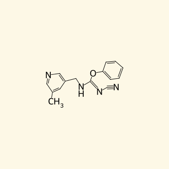 Cc1cncc(CN/C(=N/C#N)Oc2ccccc2)c1